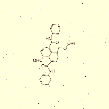 CCOOCc1ccc(C(=O)NC2=CC=CCC2)c2c(C=O)ccc(C(=O)Nc3ccccc3)c12